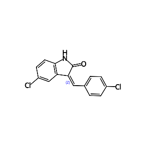 O=C1Nc2ccc(Cl)cc2/C1=C/c1ccc(Cl)cc1